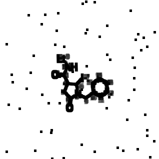 CCNC(=O)C1CC(=O)N(Cc2ccccc2)C1I